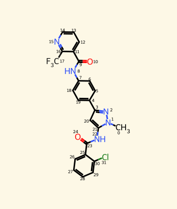 Cn1nc(-c2ccc(NC(=O)c3cccnc3C(F)(F)F)cc2)cc1NC(=O)c1ccccc1Cl